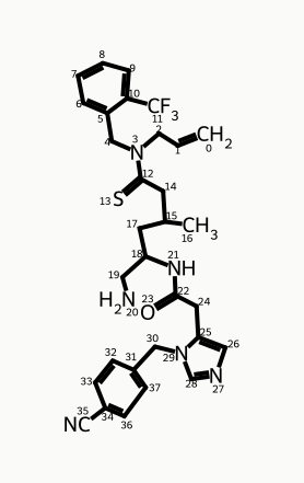 C=CCN(Cc1ccccc1C(F)(F)F)C(=S)CC(C)CC(CN)NC(=O)Cc1cncn1Cc1ccc(C#N)cc1